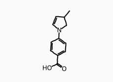 CC1C=CN(c2ccc(C(=O)O)cc2)C1